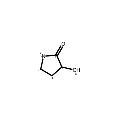 O=C1[N]CCC1O